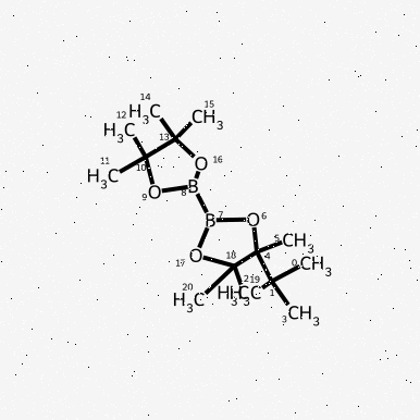 CC(C)(C)C1(C)OB(B2OC(C)(C)C(C)(C)O2)OC1(C)C